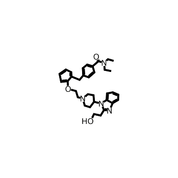 CCN(CC)C(=O)c1ccc(Cc2ccccc2OCCN2CCC(n3c(CCO)nc4ccccc43)CC2)cc1